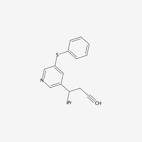 C#CCC(c1cncc(Sc2ccccc2)c1)C(C)C